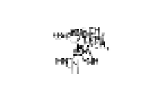 CC(C)(C)P(Cc1cc([Si](C)(C)C)c([Si](C)(C)C)cc1CP(C1CNCCN1)C1CNCCN1)C(C)(C)C